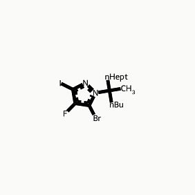 CCCCCCCC(C)(CCCC)n1nc(I)c(F)c1Br